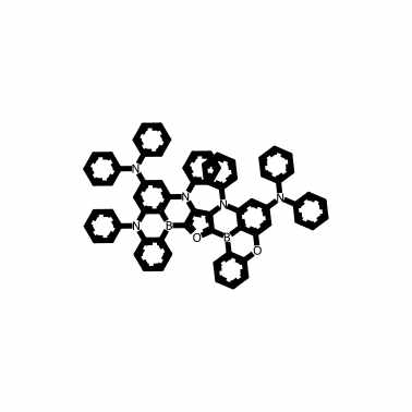 c1ccc(N(c2ccccc2)c2cc3c4c(c2)N(c2ccccc2)c2c(oc5c2N(c2ccccc2)c2cc(N(c6ccccc6)c6ccccc6)cc6c2B5c2ccccc2N6c2ccccc2)B4c2ccccc2O3)cc1